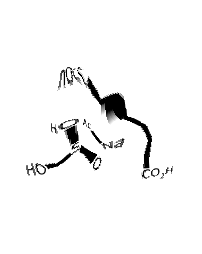 CCCCCCCCCCCC(=O)O.C[C](=O)[Na].O=S(O)O